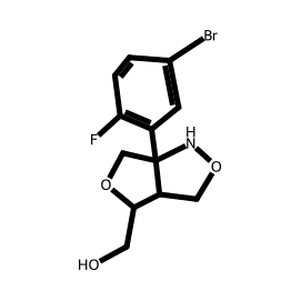 OCC1OCC2(c3cc(Br)ccc3F)NOCC12